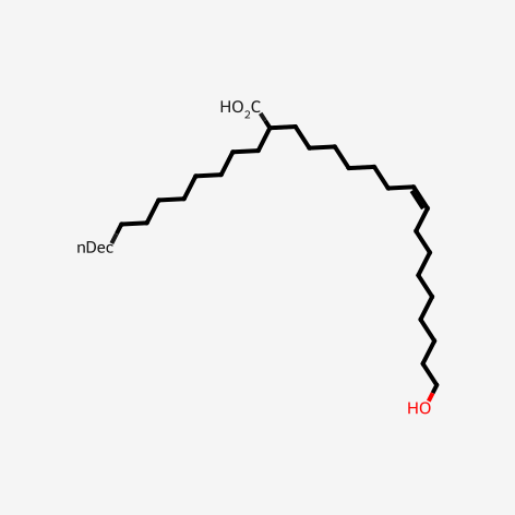 CCCCCCCCCCCCCCCCCCC(CCCCCC/C=C\CCCCCCCCO)C(=O)O